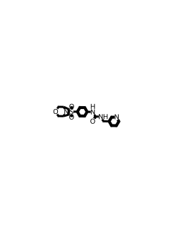 O=C(NCc1cccnc1)Nc1ccc(S(=O)(=O)N2C3CCC2COC3)cc1